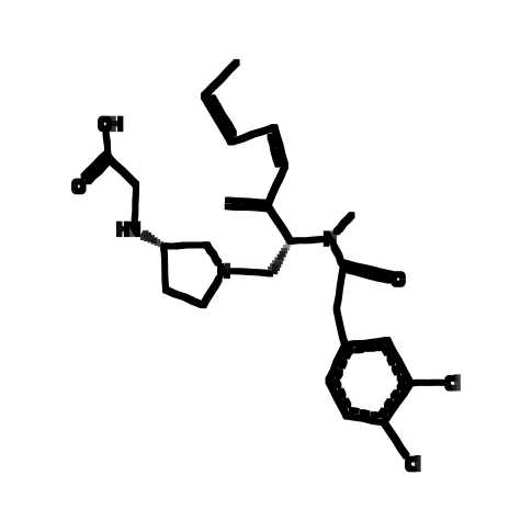 C=C(/C=C\C=C/C)[C@@H](CN1CC[C@H](NCC(=O)O)C1)N(C)C(=O)Cc1ccc(Cl)c(Cl)c1